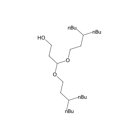 CCCCC(CCCC)CCOC(CCO)OCCC(CCCC)CCCC